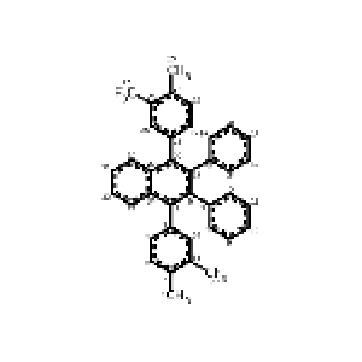 Cc1ccc(-c2c(-c3ccccc3)c(-c3ccccc3)c(-c3ccc(C)c(C(F)(F)F)c3)c3ccccc23)cc1C(F)(F)F